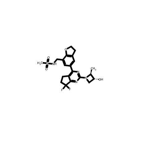 C[C@H]1[C@H](O)CN1c1nc(-c2cc3c(c(CNS(C)(=O)=O)c2)OCC3)c2c(n1)C(F)(F)CC2